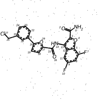 NC(=O)c1oc2c(F)cc(F)cc2c1NC(=O)c1ccc(-c2cccc(CCl)c2)o1